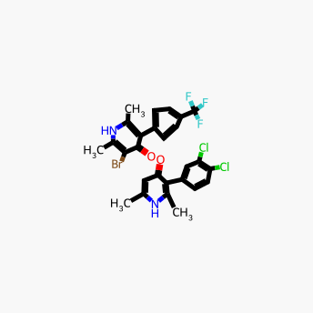 Cc1[nH]c(C)c(-c2ccc(C(F)(F)F)cc2)c(=O)c1Br.Cc1cc(=O)c(-c2ccc(Cl)c(Cl)c2)c(C)[nH]1